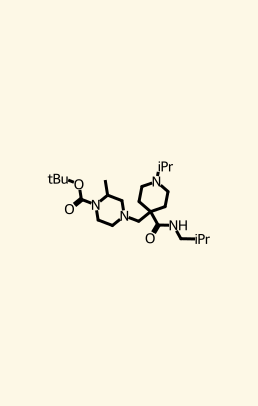 CC(C)CNC(=O)C1(CN2CCN(C(=O)OC(C)(C)C)C(C)C2)CCN(C(C)C)CC1